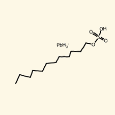 CCCCCCCCCCCCOS(=O)(=O)O.[PbH2]